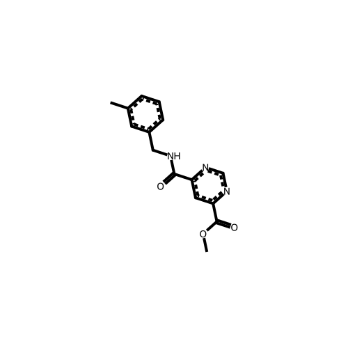 COC(=O)c1cc(C(=O)NCc2cccc(C)c2)ncn1